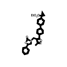 CCOC(=O)C1(c2ccc(-c3ccc(-c4onc(C)c4CN4CC(c5ccccc5)OC4=O)cc3)cc2)CC1